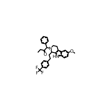 CCC(=O)C(c1ccccc1)N1CCc2c([nH]c3ccc(OC)cc23)C1CCc1ccc(C(F)(F)F)cc1